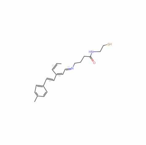 C\C=C/C(/C=C/c1ccc(C)cc1)=C\C=N\CCCC(=O)NCCS